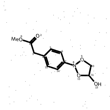 COC(=O)Cc1ccc(N2OCC(O)O2)cc1